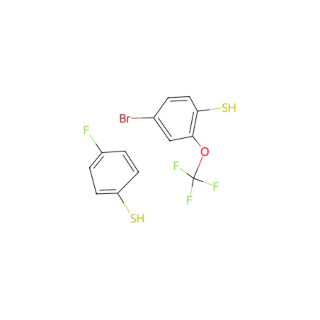 FC(F)(F)Oc1cc(Br)ccc1S.Fc1ccc(S)cc1